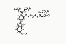 O=CCN(CCOCCOc1cc(-c2nc3ccc(C=O)cc3[nH]2)ccc1N(CC(=O)O)CC(=O)O)CC(=O)O